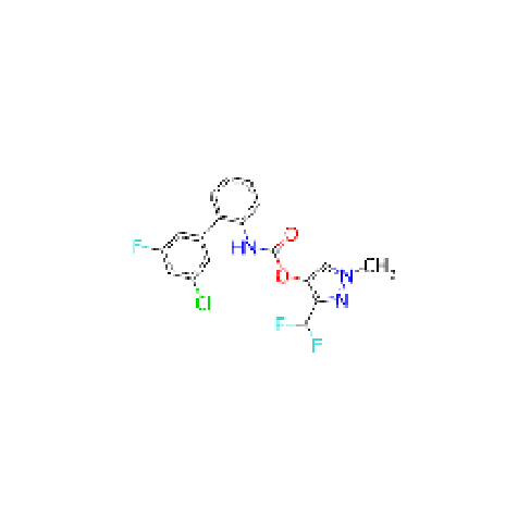 Cn1cc(OC(=O)Nc2ccccc2-c2cc(F)cc(Cl)c2)c(C(F)F)n1